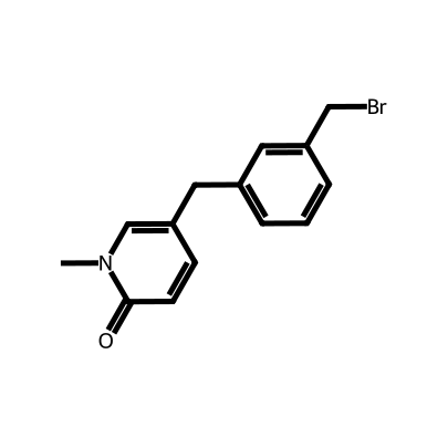 Cn1cc(Cc2cccc(CBr)c2)ccc1=O